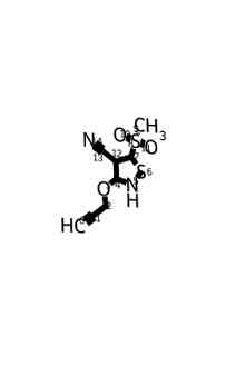 C#CCOC1NSC(S(C)(=O)=O)C1C#N